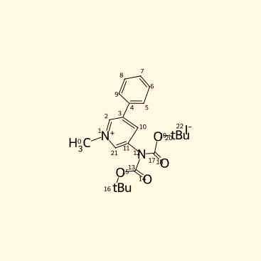 C[n+]1cc(-c2ccccc2)cc(N(C(=O)OC(C)(C)C)C(=O)OC(C)(C)C)c1.[I-]